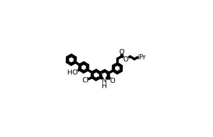 CC(C)CCOC(=O)Cc1cccc(-c2cc3cc(-c4ccc(-c5ccccc5)c(O)c4)c(Cl)cc3[nH]c2=O)c1